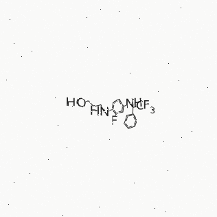 OCCCNc1ccc(NC(c2ccccc2)C(F)(F)F)cc1F